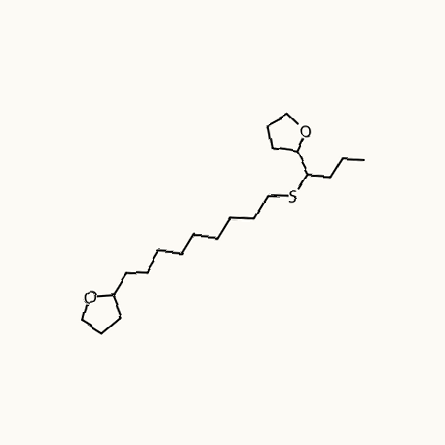 CCCC(SCCCCCCCCCC1CCCO1)C1CCCO1